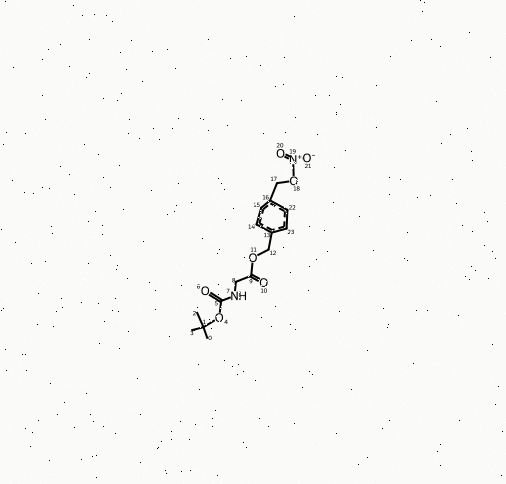 CC(C)(C)OC(=O)NCC(=O)OCc1ccc(CO[N+](=O)[O-])cc1